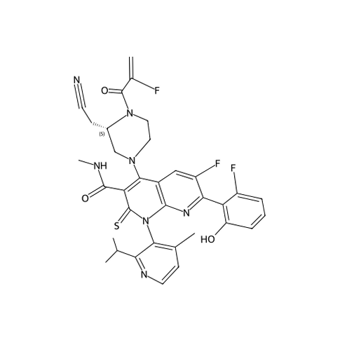 C=C(F)C(=O)N1CCN(c2c(C(=O)NC)c(=S)n(-c3c(C)ccnc3C(C)C)c3nc(-c4c(O)cccc4F)c(F)cc23)C[C@@H]1CC#N